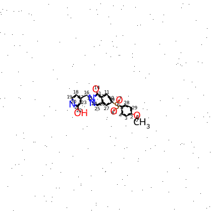 COc1ccc(S(=O)(=O)c2ccc3c(=O)n(Cc4ccnc(O)c4)ncc3c2)cc1